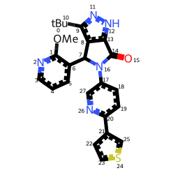 COc1ncccc1C1c2c(C(C)(C)C)n[nH]c2C(=O)N1c1ccc(-c2ccsc2)nc1